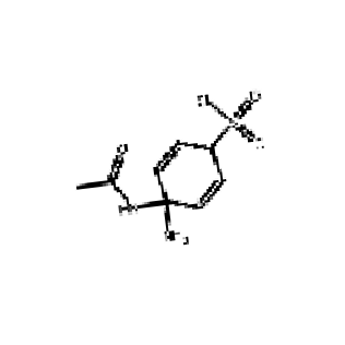 CC(=O)NC1(N)C=CC(S(=O)(=O)Cl)C=C1